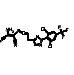 N#C/C(N)=C(\C#N)N=C=CCc1cnn(-c2c(Cl)cc(C(F)(F)F)cc2Cl)n1